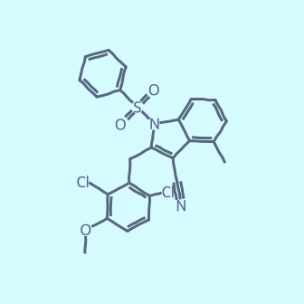 COc1ccc(Cl)c(Cc2c(C#N)c3c(C)cccc3n2S(=O)(=O)c2ccccc2)c1Cl